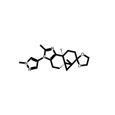 Cc1nc2c(n1-c1cnn(C)c1)CC[C@@]13CC1(C)C1(CC[C@]23C)OCCO1